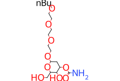 CCCCOCCOCCOCCOC1CC(OC(N)=O)C(O)C(CO)O1